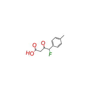 Cc1ccc(C(F)C(=O)CC(=O)O)cc1